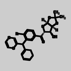 CC1(C)O[C@@H]2O[C@@H](C(=O)c3ccc(Br)c(C(C4=CC=CCC4)C4=COC=CO4)c3)[C@H](O)[C@@H]2O1